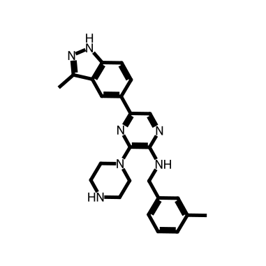 Cc1cccc(CNc2ncc(-c3ccc4[nH]nc(C)c4c3)nc2N2CCNCC2)c1